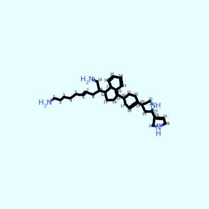 NCCCCC/C=C/CC(CN)C1CCC(C2CC=C(C3CNC(C4=CCNC4)C3)CC2)=C2C=CC=CC21